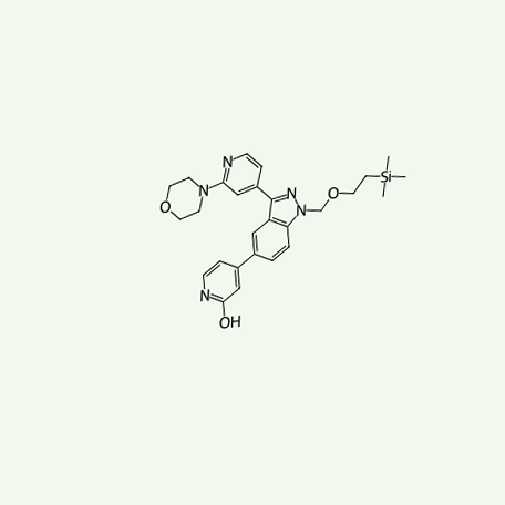 C[Si](C)(C)CCOCn1nc(-c2ccnc(N3CCOCC3)c2)c2cc(-c3ccnc(O)c3)ccc21